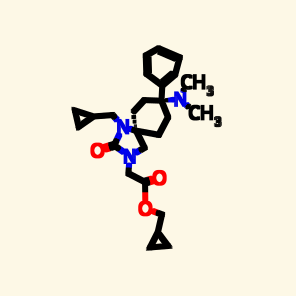 CN(C)[C@]1(c2ccccc2)CC[C@]2(CC1)CN(CC(=O)OCC1CC1)C(=O)N2CC1CC1